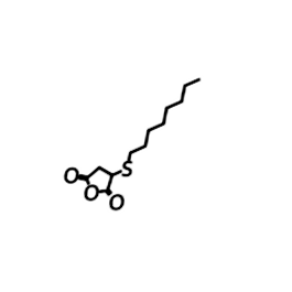 CCCCCCCCSC1CC(=O)OC1=O